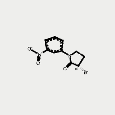 O=C1[C@@H](Br)CCN1c1cccc([N+](=O)[O-])c1